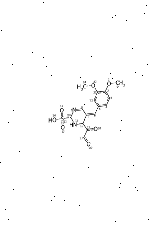 COc1ccc(C=C2C=NC(S(=O)(=O)O)NC2C(=O)C=O)cc1OC